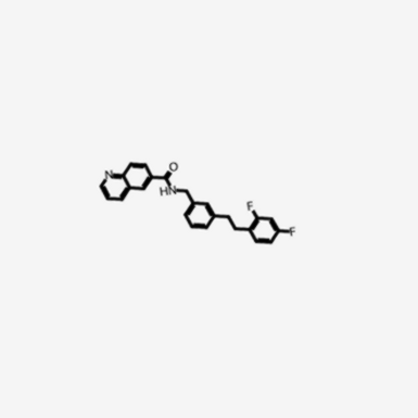 O=C(NCc1cccc(CCc2ccc(F)cc2F)c1)c1ccc2ncccc2c1